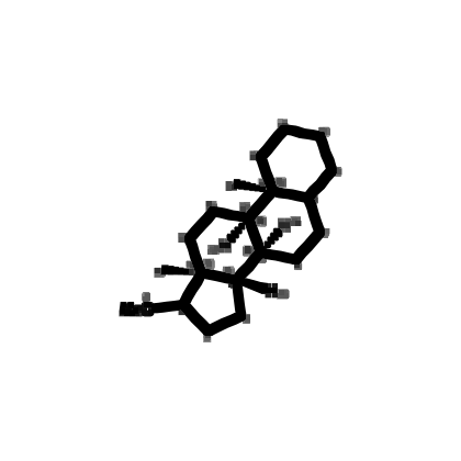 COC1CC[C@H]2[C@@H]3CCC4CCCC[C@]4(C)[C@@H]3CC[C@]12C